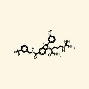 COc1cccc(-c2nc3cc(C(=O)NCc4cccc(C(F)(F)F)c4)ccc3n2C(CCCNC(=N)N)C(N)=O)c1